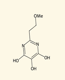 COCCc1nc(O)c(O)c(O)n1